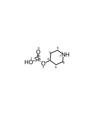 O=[Se](O)OC1CCNCC1